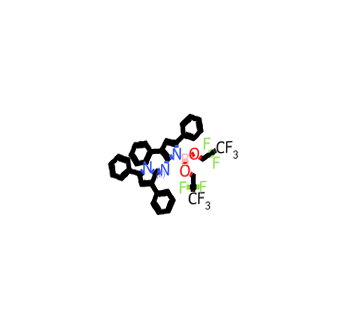 FC(F)(F)C(F)(F)COB(OCC(F)(F)C(F)(F)F)n1c(-c2ccccc2)cc(-c2ccccc2)c1/N=C1\N=C(c2ccccc2)C=C1c1ccccc1